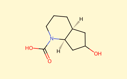 O=C(O)N1CCC[C@H]2CC(O)C[C@H]21